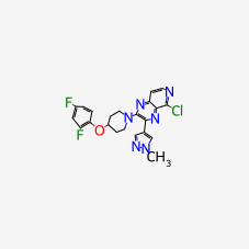 Cn1cc(-c2nc3c(Cl)nccc3nc2N2CCC(Oc3ccc(F)cc3F)CC2)cn1